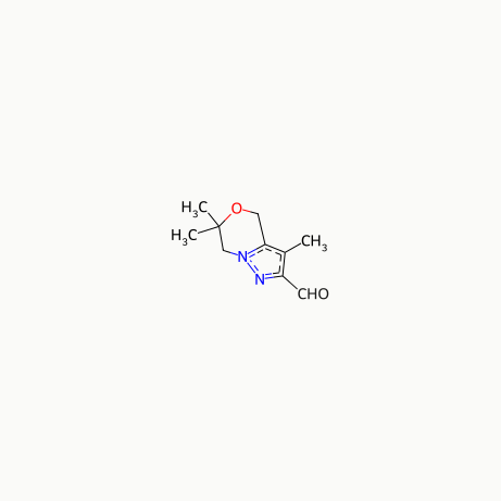 Cc1c(C=O)nn2c1COC(C)(C)C2